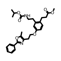 COC(=O)CCc1ccc(OCCc2nc(-c3ccccc3)oc2C)cc1CCNC(=O)OC(C)C